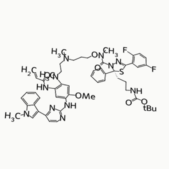 C=CC(=O)Nc1cc(Nc2nccc(-c3cn(C)c4ccccc34)n2)c(OC)cc1N(C)CCN(C)CCCON(C)C(=O)N1N=C(c2cc(F)ccc2F)S[C@@]1(CCCNC(=O)OC(C)(C)C)c1ccccc1